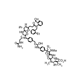 C=Cc1ccccc1N(Cc1ccccc1CC)C(=O)CCC(=O)N[C@H](C(=O)N[C@@H](CCCNC(N)=O)C(=O)Nc1ccc(COC(O)Nc2ccc(C(C)(C)C(NC)C(=O)N[C@H](C(=O)N(C)[C@H](/C=C(\C)C(=O)O)C(C)C)C(C)(C)C)cc2)cc1)C(C)C